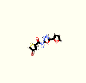 O=C(Nc1nnc(-c2ccco2)o1)c1cc(Br)cs1